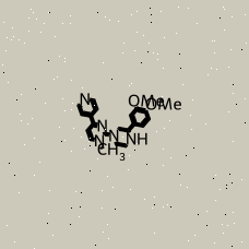 COc1ccc(C2CN(C3N=C(c4ccncc4)C=CN3C)CCN2)cc1OC